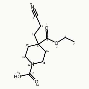 CCOC(=O)C1(CCC#N)CCN(C(=O)O)CC1